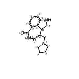 O=C1NN=C(CN2CCCC2)C2CNc3cccc1c32